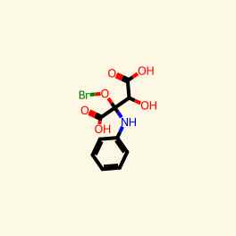 O=C(O)C(O)C(Nc1ccccc1)(OBr)C(=O)O